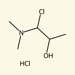 CC(O)C(Cl)N(C)C.Cl